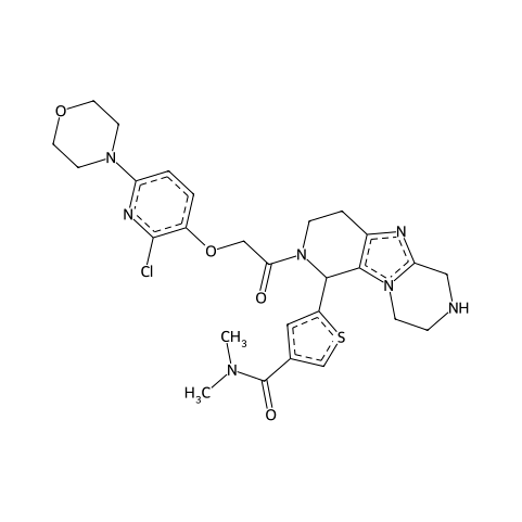 CN(C)C(=O)c1csc(C2c3c(nc4n3CCNC4)CCN2C(=O)COc2ccc(N3CCOCC3)nc2Cl)c1